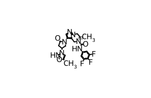 CC1=CN(C2CC(=O)N(c3cnn4c3CN(C(=O)Nc3cc(F)c(F)c(F)c3)[C@@H](C)C4)C2)NO1